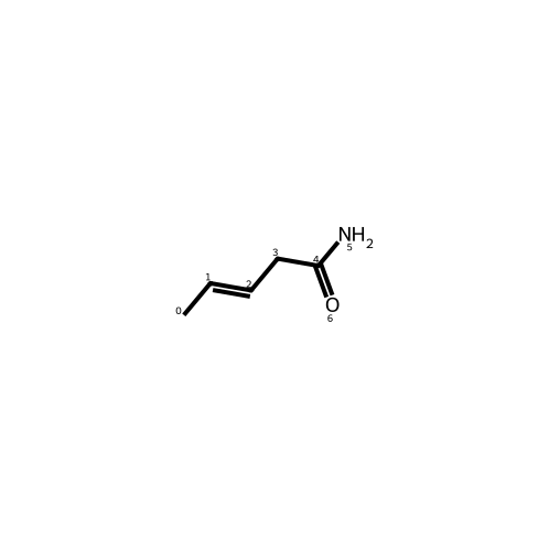 CC=CCC(N)=O